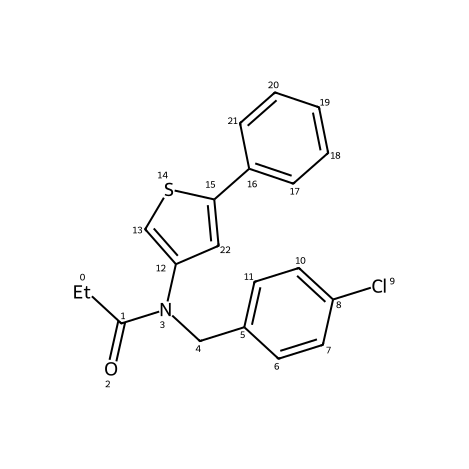 CCC(=O)N(Cc1ccc(Cl)cc1)c1csc(-c2ccccc2)c1